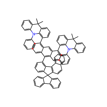 CC1(C)c2ccccc2N(c2ccccc2)c2c(-c3cccc4c(-c5cccc6c5-c5c(ccc7ccccc57)C65c6ccccc6-c6ccccc65)c5cccc(-c6cccc7c6N(c6ccccc6)c6ccccc6C7(C)C)c5cc34)cccc21